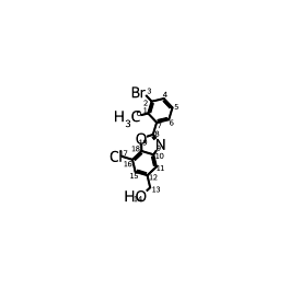 Cc1c(Br)cccc1-c1nc2cc(CO)cc(Cl)c2o1